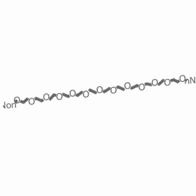 CCCCCCCCCOCCOCCOCCOCCOCCOCCOCCOCCOCCOCCOCCOCCOCCCCCCCCC